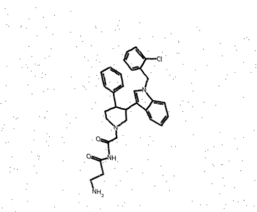 NCCC(=O)NC(=O)CN1CCC(c2ccccc2)C(c2cn(Cc3ccccc3Cl)c3ccccc23)C1